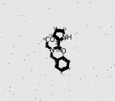 O=C(O)CN(Cc1ccccc1)C(=O)c1ccc[nH]1